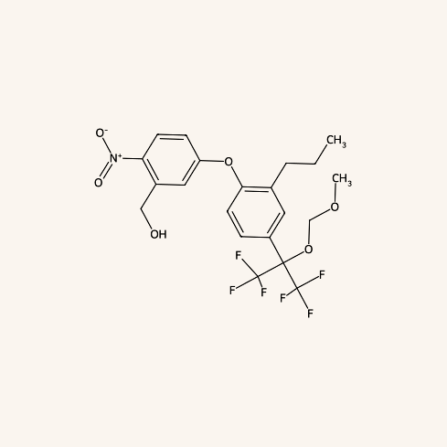 CCCc1cc(C(OCOC)(C(F)(F)F)C(F)(F)F)ccc1Oc1ccc([N+](=O)[O-])c(CO)c1